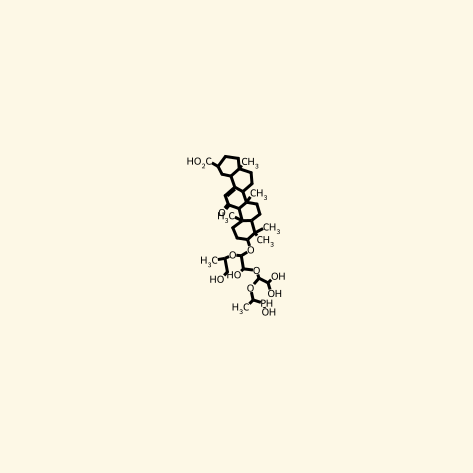 CC(CO)OC(OC1CCC2(C)C(CCC3(C)C4CCC5(C)CCC(C(=O)O)CC5C4=CC(=O)C32)C1(C)C)C(O)OC(OC(C)PO)C(O)O